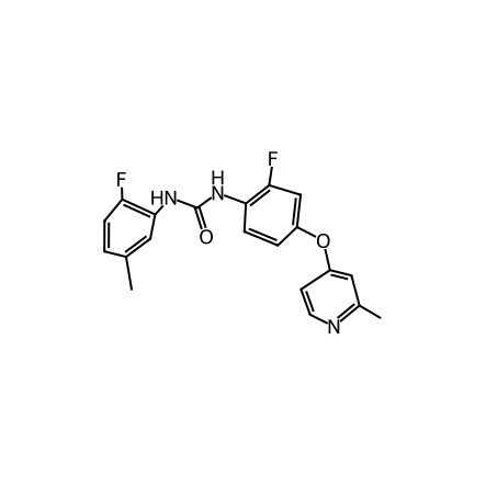 Cc1ccc(F)c(NC(=O)Nc2ccc(Oc3ccnc(C)c3)cc2F)c1